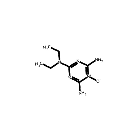 CCN(CC)c1nc(N)[n+]([O-])c(N)n1